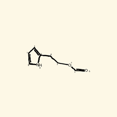 O=COCCc1ccc[nH]1